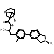 CN1Cc2ccc(-c3ccc(C[C@@H](C#N)NC(=O)[C@H]4NC5CCC4CC5)c(F)c3)cc2C1